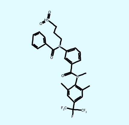 Cc1cc(C(F)(C(F)(F)F)C(F)(F)F)cc(C)c1N(C)C(=O)c1cccc(N(CCC[SH](=O)=O)C(=O)c2ccccc2)c1